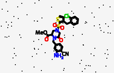 COC(=O)C1CN(S(=O)(=O)c2sccc2Cc2ccccc2Cl)CC(=O)N1Cc1ccc(C#N)c(N)c1